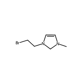 CN1C=CN(CCBr)C1